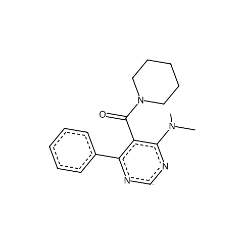 CN(C)c1n[c]nc(-c2ccccc2)c1C(=O)N1CCCCC1